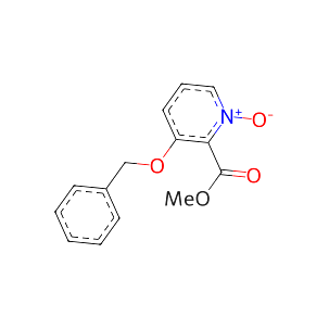 COC(=O)c1c(OCc2ccccc2)ccc[n+]1[O-]